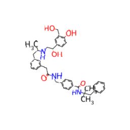 C[C@H](Cc1cccc(CC(=O)NCc2ccc(C(=O)NC(C)(C)Cc3ccccc3)cc2)c1)NC[C@@H](O)c1ccc(O)c(CO)c1